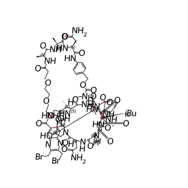 CC[C@H](C)[C@@H]1NC(=O)CNC(=O)[C@H]2Cc3c4[nH]c5cc(ccc35)OC(=O)N(CCN(C)C(=O)OCc3ccc(NC(=O)[C@H](CC(N)=O)NC(=O)[C@H](C)NC(=O)[C@H](C)NC(=O)CCOCCOCCNC(=O)c5ccc6nc(CBr)c(CBr)nc6c5)cc3)C(C)[C@@]3(O)C[C@@H](C(=O)N[C@@H]([C@@H](C)[C@@H](O)CO)C(=O)N2)N(C3)C(=O)[C@H](CC(N)=O)NC(=O)[C@H](C[S+]4[O-])NC(=O)CNC1=O